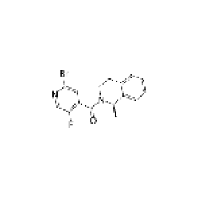 C[C@@H]1c2ccccc2CCN1C(=O)c1cc(Br)ncc1F